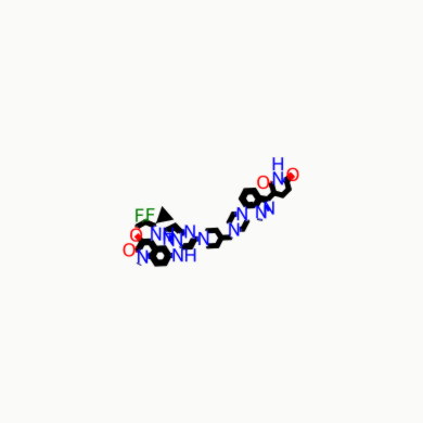 Cn1nc(C2CCC(=O)NC2=O)c2cccc(N3CCN(CC4CCN(c5cc(Nc6ccc7c(c6)c6c(c(=O)n7C)OCC(F)(F)[C@H](C7CC7)N6)n6nccc6n5)CC4)CC3)c21